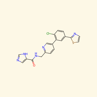 O=C(NCc1ccc(-c2cc(-c3nccs3)ccc2Cl)cn1)c1cnc[nH]1